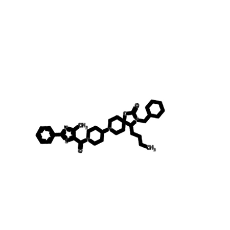 CCCCC1N(CC2CCCCC2)C(=O)OC12CCN(C1CCN(C(=O)c3sc(-c4ccccc4)nc3C)CC1)CC2